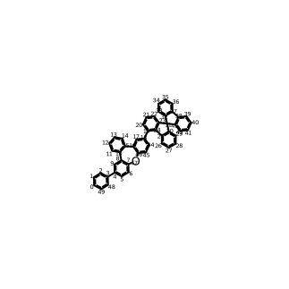 c1ccc(-c2ccc3c(c2)-c2ccccc2-c2cc(-c4cccc5c4-c4ccccc4C54c5ccccc5-c5ccccc54)ccc2O3)cc1